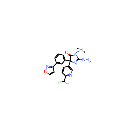 CN1C(=O)C(c2ccc(C(F)F)nc2)(c2cccc(-c3ccon3)c2)N=C1N